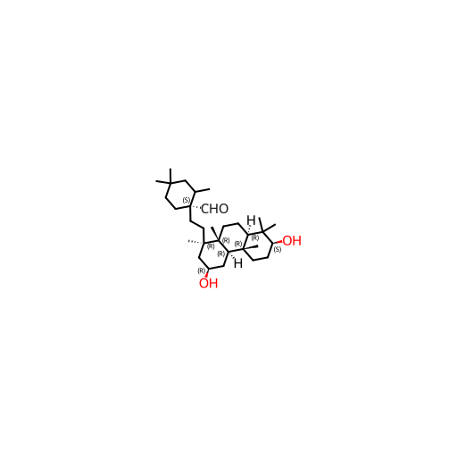 CC1CC(C)(C)CC[C@]1(C=O)CC[C@]1(C)C[C@H](O)C[C@@H]2[C@@]3(C)CC[C@H](O)C(C)(C)[C@@H]3CC[C@]21C